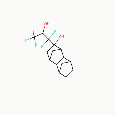 OC(C(F)(F)F)C(F)(F)C1(O)CC2CC1C1C3CCC(C3)C21